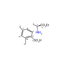 CCOC(=O)[C@H](C)N.Cc1ccc(S(=O)(=O)O)c(C)c1